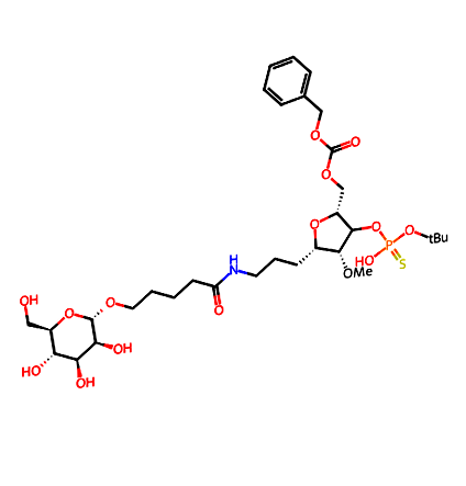 CO[C@H]1C(OP(O)(=S)OC(C)(C)C)[C@@H](COC(=O)OCc2ccccc2)O[C@H]1CCCNC(=O)CCCCO[C@H]1O[C@H](CO)[C@@H](O)[C@H](O)[C@@H]1O